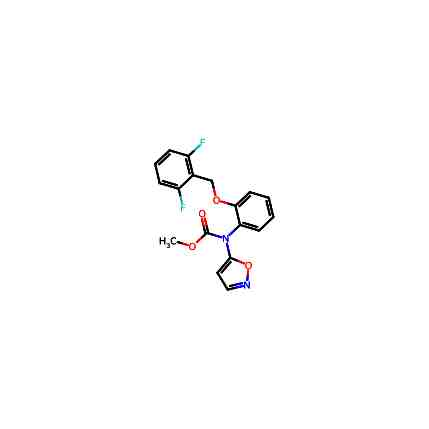 COC(=O)N(c1ccno1)c1ccccc1OCc1c(F)cccc1F